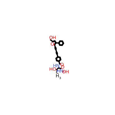 CC(O)C(NC(=O)c1ccc(C#CC#Cc2oc(CO)cc2-c2ccccc2)cc1)C(=O)NO